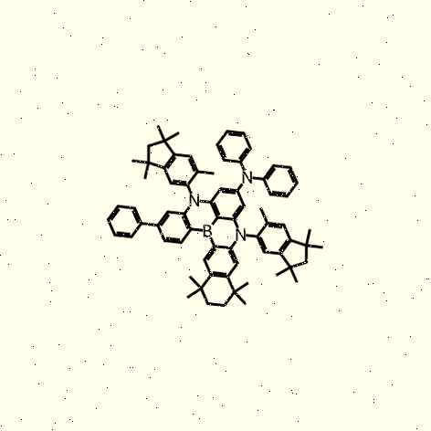 Cc1cc2c(cc1N1c3cc(-c4ccccc4)ccc3B3c4cc5c(cc4N(c4cc6c(cc4C)C(C)(C)CC6(C)C)c4cc(N(c6ccccc6)c6ccccc6)cc1c43)C(C)(C)CCC5(C)C)C(C)(C)CC2(C)C